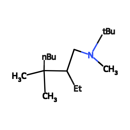 CCCCC(C)(C)C(CC)CN(C)C(C)(C)C